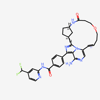 Nc1ncc2n3c(nc(-c4ccc(C(=O)Nc5cc(C(F)F)ccn5)cc4)c13)[C@@H]1CC[C@H](C1)NC(=O)CCOCC/C=C/2